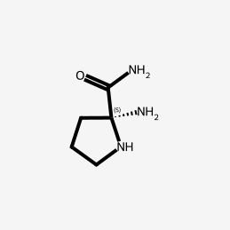 NC(=O)[C@]1(N)CCCN1